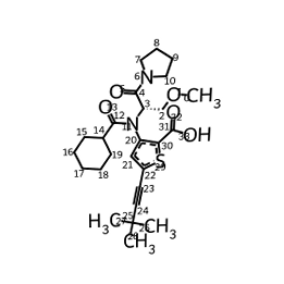 COC[C@@H](C(=O)N1CCCC1)N(C(=O)C1CCCCC1)c1cc(C#CC(C)(C)C)sc1C(=O)O